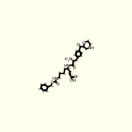 N[C@@H](Cc1ccc(C(=O)C2CNCCO2)cc1)C(=O)NC(C=CC(=O)O)CCCCNC(=O)OCc1ccccc1